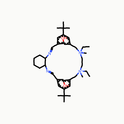 CC[N+]1(C)CC[N+](C)(CC)Cc2cc(C(C)(C)C)cc(c2O)/C=N/C2CCCCC2/N=C/c2cc(C(C)(C)C)cc(c2O)C1